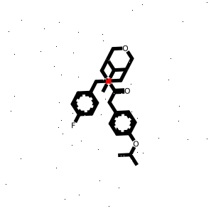 CC(C)Oc1ccc(CC(=O)N(Cc2ccc(F)cc2)C2C3COCC2CN(C)C3)cc1